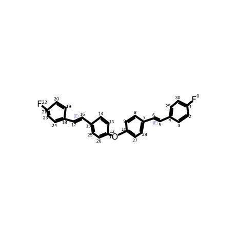 Fc1ccc(/C=C/c2ccc(Oc3ccc(/C=C/c4ccc(F)cc4)cc3)cc2)cc1